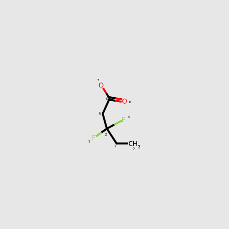 CCC(F)(F)CC([O])=O